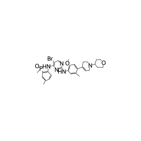 COc1cc(C2=CCN(C3CCOCC3)CC2)c(C)cc1Nc1ncc(Br)c(Nc2ccc(C)cc2P(C)(C)=O)n1